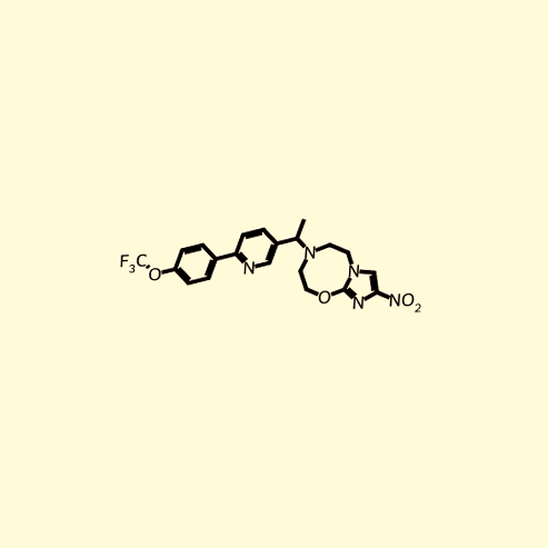 CC(c1ccc(-c2ccc(OC(F)(F)F)cc2)nc1)N1CCOc2nc([N+](=O)[O-])cn2CC1